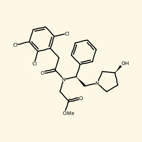 COC(=O)CN(C(=O)Cc1c(Cl)ccc(Cl)c1Cl)[C@H](CN1CC[C@H](O)C1)c1ccccc1